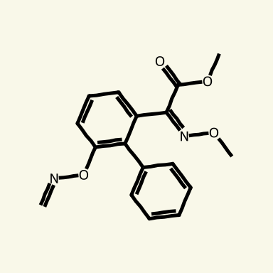 C=NOc1cccc(C(=NOC)C(=O)OC)c1-c1ccccc1